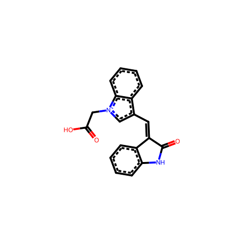 O=C(O)Cn1cc(/C=C2/C(=O)Nc3ccccc32)c2ccccc21